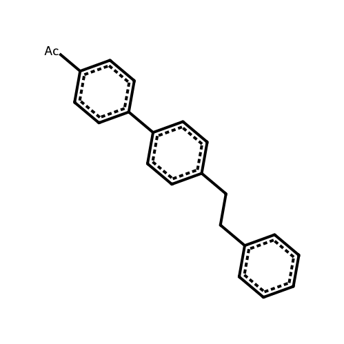 CC(=O)c1ccc(-c2ccc(CCc3ccccc3)cc2)cc1